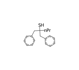 CCCC(S)(Cc1ccccc1)Cc1ccccc1